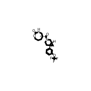 O=C1NC[C@H](C(=O)N2CC[C@@]3(c4cccc(OC(F)(F)F)c4)C[C@H]3C2)CCCO1